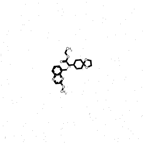 CCOC(=O)[C@@H](Cc1cccc2ncc(OC)nc12)C1CCC2(CC1)OCCO2